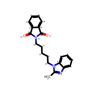 Cc1nc2ccccc2n1CCCCCN1C(=O)c2ccccc2C1=O